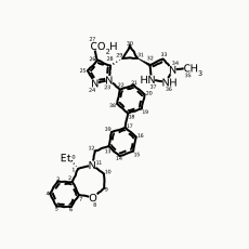 CC[C@H]1c2ccccc2OCCN1Cc1cccc(-c2cccc(-n3ncc(C(=O)O)c3[C@@H]3C[C@H]3C3=CN(C)NN3)c2)c1